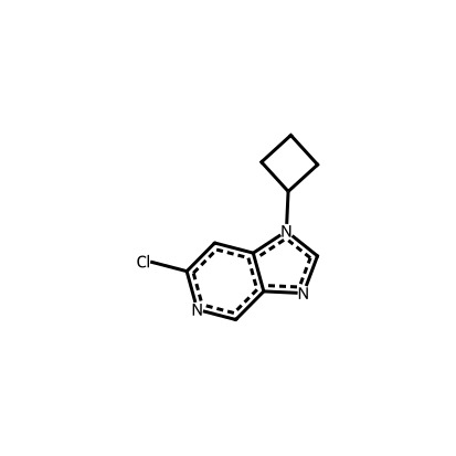 Clc1cc2c(cn1)ncn2C1CCC1